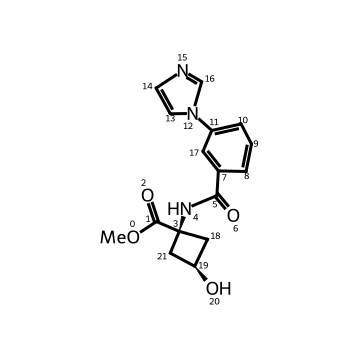 COC(=O)[C@]1(NC(=O)c2cccc(-n3ccnc3)c2)C[C@@H](O)C1